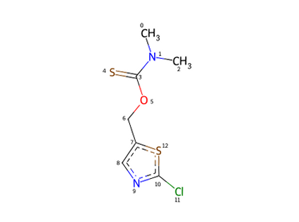 CN(C)C(=S)OCc1cnc(Cl)s1